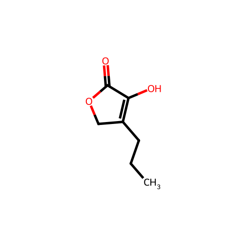 CCCC1=C(O)C(=O)OC1